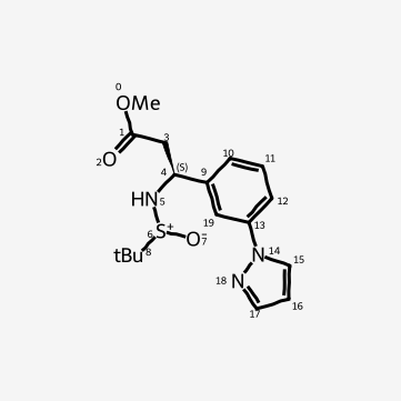 COC(=O)C[C@H](N[S+]([O-])C(C)(C)C)c1cccc(-n2cccn2)c1